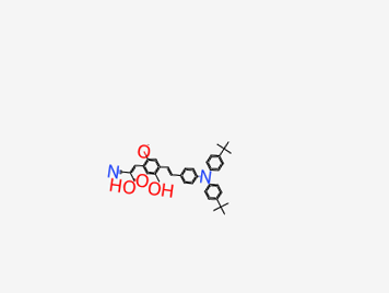 COc1cc(/C=C/c2ccc(N(c3ccc(C(C)(C)C)cc3)c3ccc(C(C)(C)C)cc3)cc2)c(CO)cc1/C=C(/C#N)C(=O)O